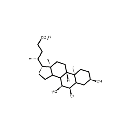 CC[C@@H]1C2C[C@H](O)CC[C@]2(C)[C@H]2CC[C@@]3(C)C(CC[C@@H]3[C@H](C)CCC(=O)O)C2[C@@H]1O